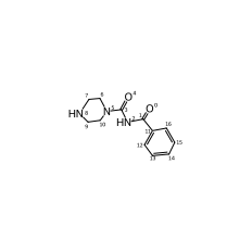 O=C(NC(=O)N1CCNCC1)c1ccccc1